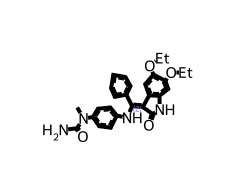 CCOc1cc2c(cc1OCC)/C(=C(/Nc1ccc(N(C)C(N)=O)cc1)c1ccccc1)C(=O)N2